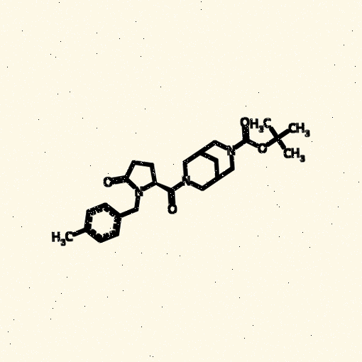 Cc1ccc(CN2C(=O)CC[C@H]2C(=O)N2CC3CC(CN(C(=O)OC(C)(C)C)C3)C2)cc1